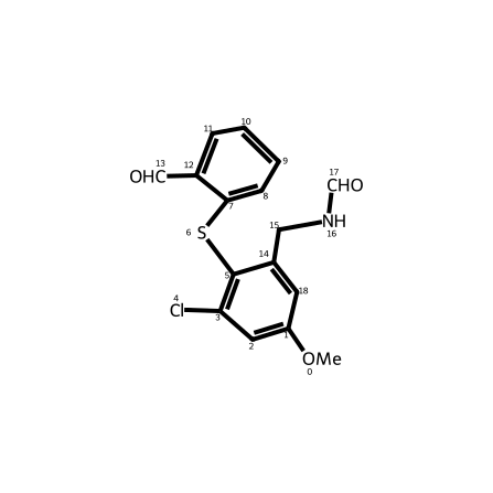 COc1cc(Cl)c(Sc2ccccc2C=O)c(CNC=O)c1